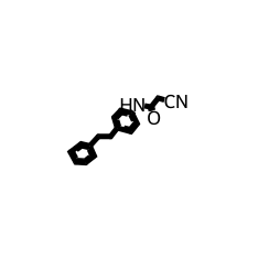 N#CCC(=O)Nc1ccc(CCc2ccccc2)cc1